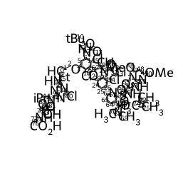 C#CCOc1cc(-n2nc(C(C)(C)C)oc2=O)c(Cl)cc1Cl.CC1COc2ccccc2N1C(=O)C(Cl)Cl.CCNc1nc(Cl)nc(NC(C)C)n1.COc1cc(OC)nc(NC(=O)NS(=O)(=O)c2ncccc2C(=O)N(C)C)n1.C[S+](C)C.O=C(O)CNCP(=O)([O-])O